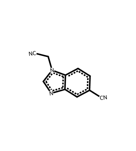 N#CCn1cnc2cc(C#N)ccc21